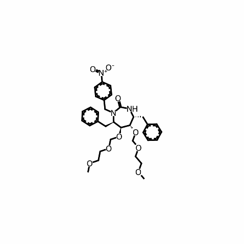 COCCOCO[C@@H]1[C@@H](OCOCCOC)[C@@H](Cc2ccccc2)NC(=O)N(Cc2ccc([N+](=O)[O-])cc2)[C@@H]1Cc1ccccc1